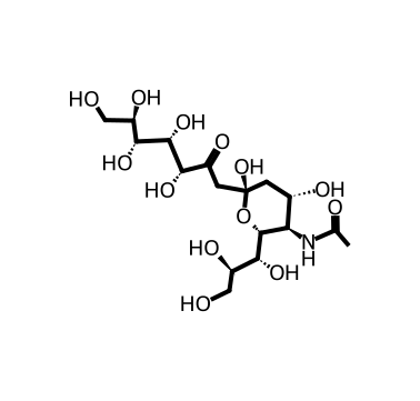 CC(=O)N[C@H]1[C@H]([C@H](O)[C@H](O)CO)O[C@](O)(CC(=O)[C@H](O)[C@@H](O)[C@H](O)[C@H](O)CO)C[C@@H]1O